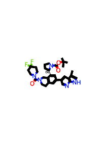 Cc1c[nH]c2ncc(-c3cc4c(c([C@@H]5CCCN5C(=O)OC(C)(C)C)c3)CN(C(=O)N3CCC(F)(F)CC3)CC4)cc12